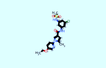 CCOc1ccc(-n2cc(C(=O)Nc3cc(Cl)cc(NS(C)(=O)=O)c3)cc2C)nc1